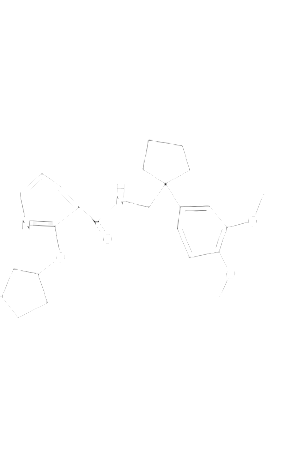 COc1ccc(C2(CNC(=O)c3cccnc3OC3CCCC3)CCCC2)cc1OC